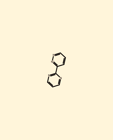 C1=CC(c2ncccn2)=[N+]N=C1